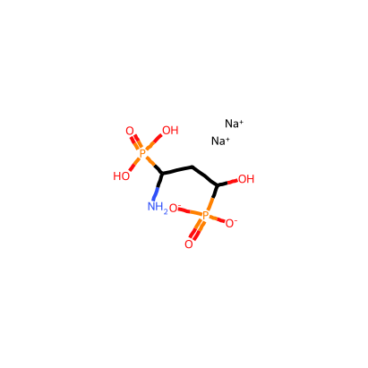 NC(CC(O)P(=O)([O-])[O-])P(=O)(O)O.[Na+].[Na+]